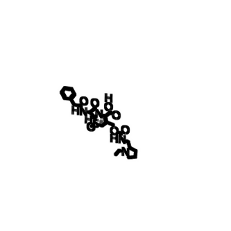 CCN1CCCC1CNC(=O)OCC1=C(C(=O)O)N2C(=O)C(NC(=O)Cc3ccccc3)[C@@H]2[S+]([O-])C1